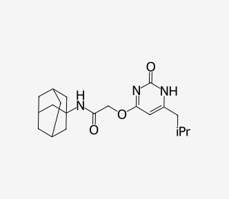 CC(C)Cc1cc(OCC(=O)NC23CC4CC(CC(C4)C2)C3)nc(=O)[nH]1